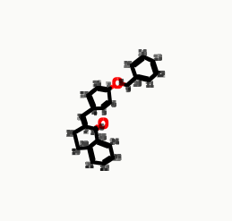 O=C1C(=Cc2ccc(OCc3ccccc3)cc2)CCc2ccccc21